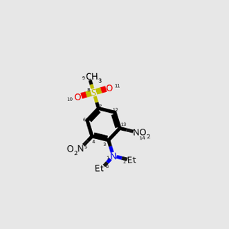 CCN(CC)c1c([N+](=O)[O-])cc(S(C)(=O)=O)cc1[N+](=O)[O-]